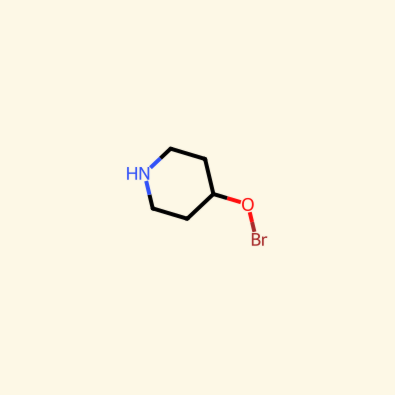 BrOC1CCNCC1